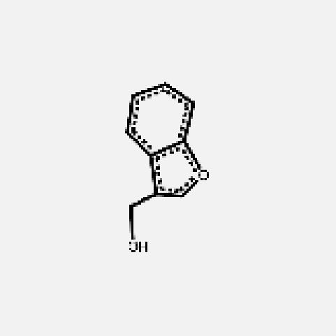 OCc1coc2ccccc12